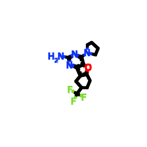 Nc1nc(N2CCCC2)c2oc3c(c2n1)CC(C(F)(F)F)CC3